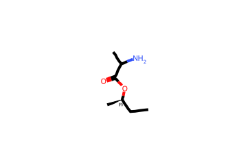 CC[C@@H](C)OC(=O)C(C)N